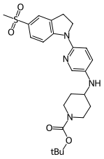 CC(C)(C)OC(=O)N1CCC(Nc2ccc(N3CCc4cc(S(C)(=O)=O)ccc43)nc2)CC1